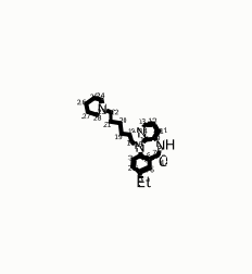 CCc1ccc2c(c1)C(=O)Nc1cccnc1N2CCCCCCN1CCCCC1